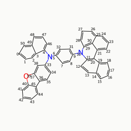 c1ccc2c(N(c3ccc(N4c5ccc6ccccc6c5-c5cccc6cccc4c56)cc3)c3ccc4c(c3)oc3ccccc34)cccc2c1